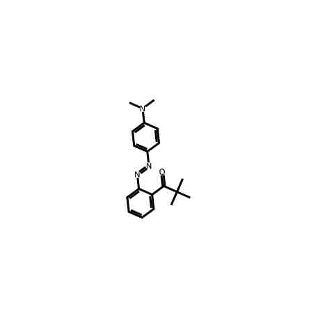 CN(C)c1ccc(/N=N/c2ccccc2C(=O)C(C)(C)C)cc1